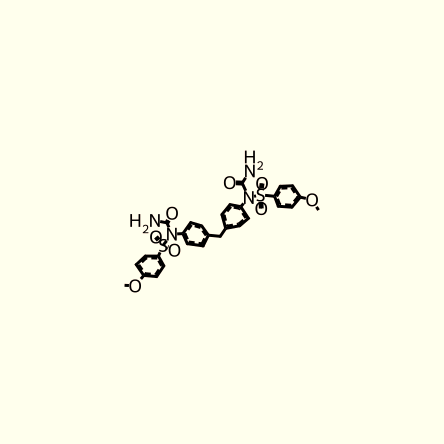 COc1ccc(S(=O)(=O)N(C(N)=O)c2ccc(Cc3ccc(N(C(N)=O)S(=O)(=O)c4ccc(OC)cc4)cc3)cc2)cc1